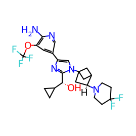 Nc1ncc(-c2cn(C34CC(C3)[C@@H](N3CCC(F)(F)CC3)C4)c([C@H](O)C3CC3)n2)cc1OC(F)(F)F